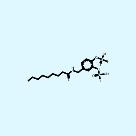 CCCCCCCCC(=O)NCc1ccc(OP(=O)(O)I)c(OP(=O)(O)I)c1